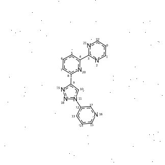 c1cnc(-c2cccc(-c3cn(-c4cccnc4)nn3)n2)nc1